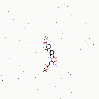 CC(C)(C)OC(=O)CCC(C(N)=O)N1Cc2c(ccc(C3CCN(C(=O)OC(C)(C)C)CC3(C)C)c2F)C1=O